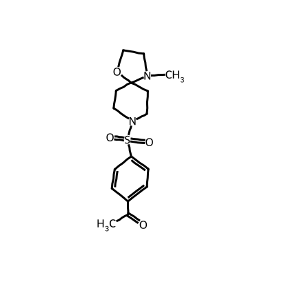 CC(=O)c1ccc(S(=O)(=O)N2CCC3(CC2)OCCN3C)cc1